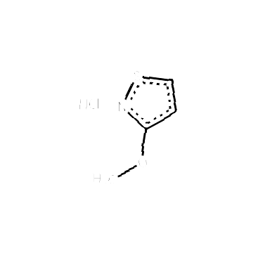 COc1ccsn1.Cl